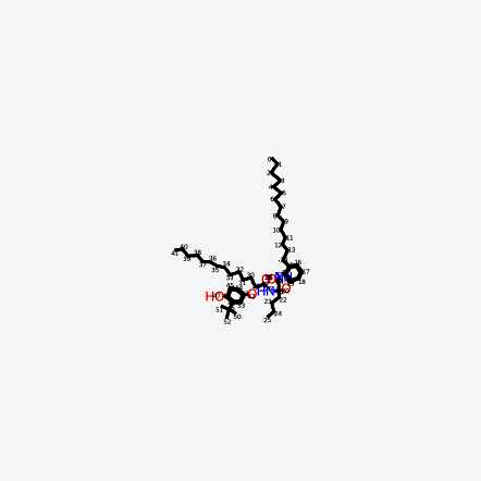 CCCCCCCCCCCCCCCc1cccc(OC(CCCC)(NC(=O)C(CCCCCCCCCCCC)Oc2ccc(O)c(C(C)(C)C)c2)C([NH])=O)c1